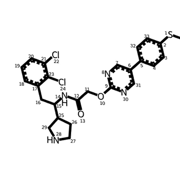 CSc1ccc(-c2cnc(OCC(=O)NC(Cc3cccc(Cl)c3Cl)C3CCNC3)nc2)cc1